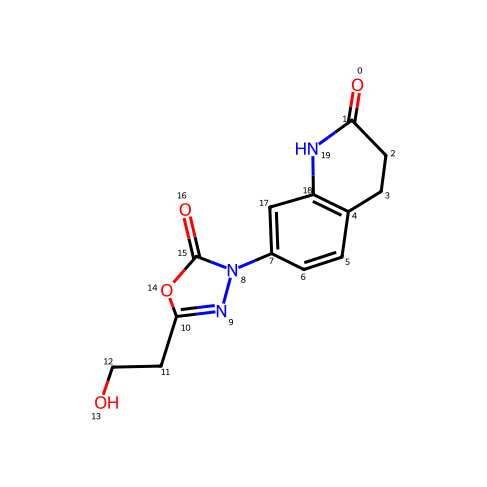 O=C1CCc2ccc(-n3nc(CCO)oc3=O)cc2N1